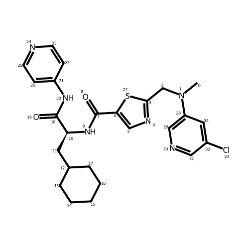 CN(Cc1ncc(C(=O)N[C@@H](CC2CCCCC2)C(=O)Nc2ccncc2)s1)c1cncc(Cl)c1